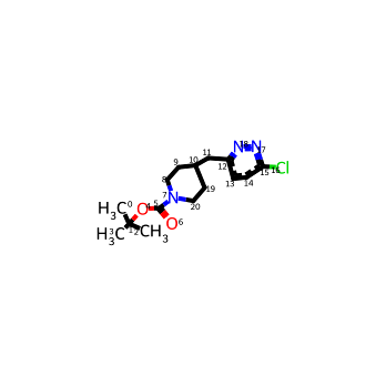 CC(C)(C)OC(=O)N1CCC(Cc2ccc(Cl)nn2)CC1